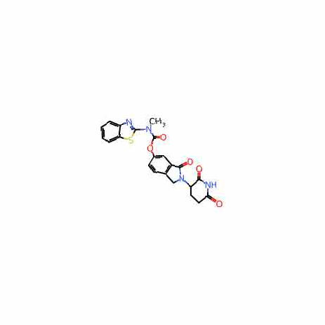 CN(C(=O)Oc1ccc2c(c1)C(=O)N(C1CCC(=O)NC1=O)C2)c1nc2ccccc2s1